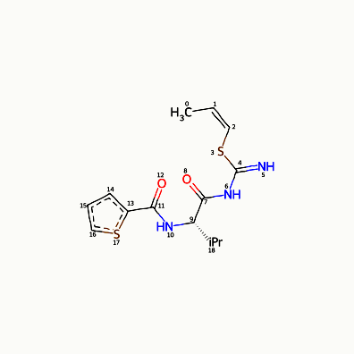 C/C=C\SC(=N)NC(=O)[C@@H](NC(=O)c1cccs1)C(C)C